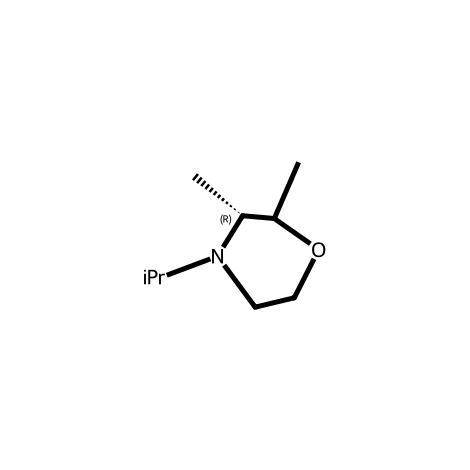 CC1OCCN(C(C)C)[C@@H]1C